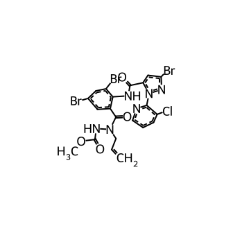 C=CCN(NC(=O)OC)C(=O)c1cc(Br)cc(Br)c1NC(=O)c1cc(Br)nn1-c1ncccc1Cl